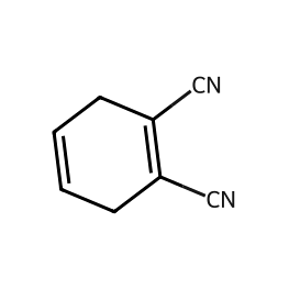 N#CC1=C(C#N)CC=CC1